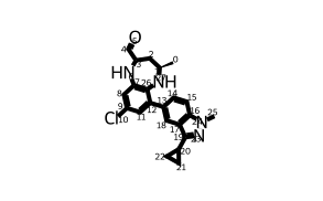 C[C@@H]1CC(C=O)Nc2cc(Cl)cc(-c3ccc4c(c3)c(C3CC3)nn4C)c2N1